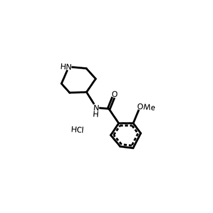 COc1ccccc1C(=O)NC1CCNCC1.Cl